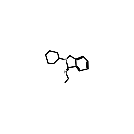 CC/N=C1\c2ccccc2CN1C1CCCCC1